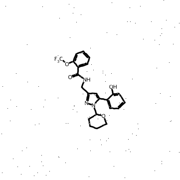 O=C(NCc1cc(-c2ccccc2O)n(C2CCCCO2)n1)c1ccccc1OC(F)(F)F